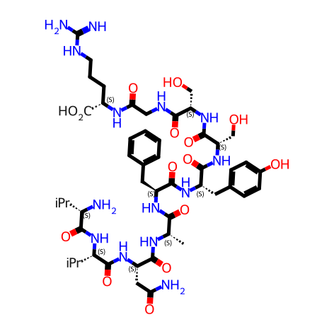 CC(C)[C@H](N)C(=O)N[C@H](C(=O)N[C@@H](CC(N)=O)C(=O)N[C@@H](C)C(=O)N[C@@H](Cc1ccccc1)C(=O)N[C@@H](Cc1ccc(O)cc1)C(=O)N[C@@H](CO)C(=O)N[C@@H](CO)C(=O)NCC(=O)N[C@@H](CCCNC(=N)N)C(=O)O)C(C)C